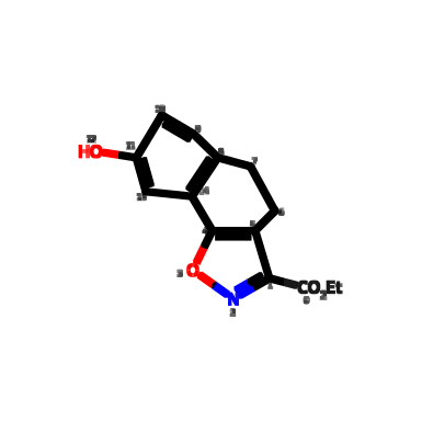 CCOC(=O)c1noc2c1CCc1ccc(O)cc1-2